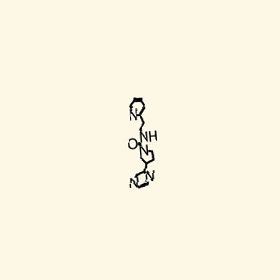 O=C(NCCc1ccccn1)N1CCC(c2cnccn2)C1